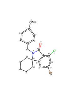 COc1ccc(CN2C(=O)c3c(Cl)cc(Br)cc3C23CCCCC3)cc1